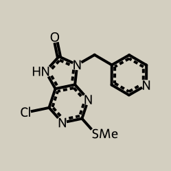 CSc1nc(Cl)c2[nH]c(=O)n(Cc3ccncc3)c2n1